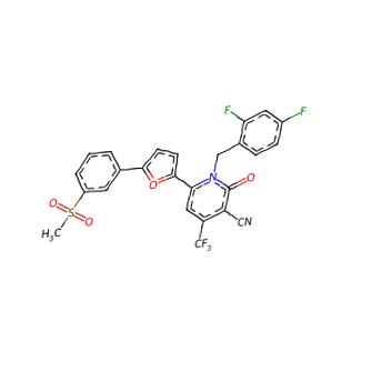 CS(=O)(=O)c1cccc(-c2ccc(-c3cc(C(F)(F)F)c(C#N)c(=O)n3Cc3ccc(F)cc3F)o2)c1